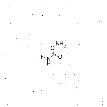 NOC(=O)NF